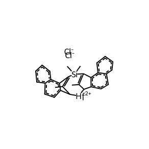 CC1=C2c3c(ccc4ccccc34)[CH]1[Hf+2][CH]1C(C)=C(c3c1ccc1ccccc31)[Si]2(C)C.[Cl-].[Cl-]